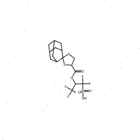 O=C(OC(C(F)(F)F)C(F)(F)S(=O)(=O)O)C1CSC2(S1)C1CC3CC(C1)CC2C3